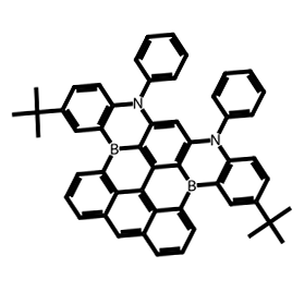 CC(C)(C)c1ccc2c(c1)B1c3c(cc4c5c3-c3c6c1cccc6cc1cccc(c31)B5c1cc(C(C)(C)C)ccc1N4c1ccccc1)N2c1ccccc1